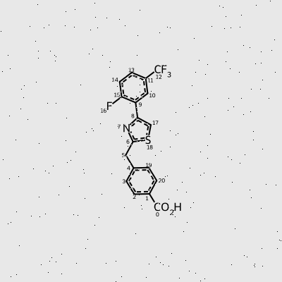 O=C(O)c1ccc(Cc2nc(-c3cc(C(F)(F)F)ccc3F)cs2)cc1